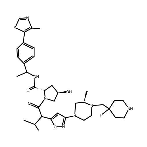 Cc1ncsc1-c1ccc(C(C)NC(=O)[C@@H]2C[C@@H](O)CN2C(=O)C(c2cc(N3CCN(CC4(F)CCNCC4)[C@H](C)C3)no2)C(C)C)cc1